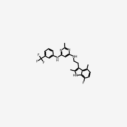 Cc1nc(NCCc2c(C)[nH]c3c(F)ccc(C)c23)cc(Nc2cccc(C(F)(F)F)c2)n1